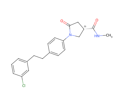 CNC(=O)[C@H]1CC(=O)N(c2ccc(CCc3cccc(Cl)c3)cc2)C1